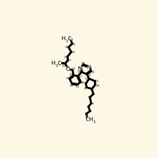 CCCCCCCC1CCC(c2cncnc2-c2ccccc2COC(C)CCCCCC)CC1